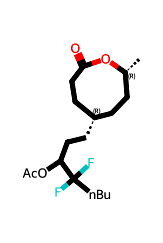 CCCCC(F)(F)C(CC[C@@H]1CCC(=O)O[C@H](C)CC1)OC(C)=O